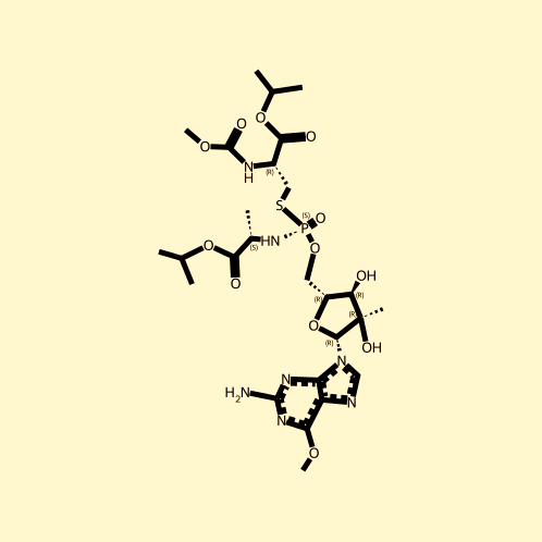 COC(=O)N[C@@H](CS[P@](=O)(N[C@@H](C)C(=O)OC(C)C)OC[C@H]1O[C@@H](n2cnc3c(OC)nc(N)nc32)[C@](C)(O)[C@@H]1O)C(=O)OC(C)C